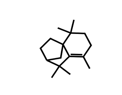 CC1=C2C(C)(C)C3CCC2(C3)C(C)(C)CC1